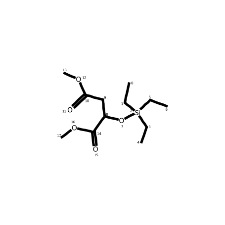 CC[Si](CC)(CC)OC(CC(=O)OC)C(=O)OC